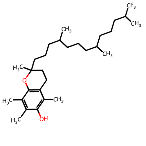 Cc1c(C)c2c(c(C)c1O)CCC(C)(CCCC(C)CCCC(C)CCCC(C)C(F)(F)F)O2